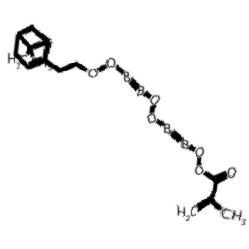 C=C(C)C(=O)OO/B=B/OO/B=B/OOCCC1=CCC2CC1C2(C)C